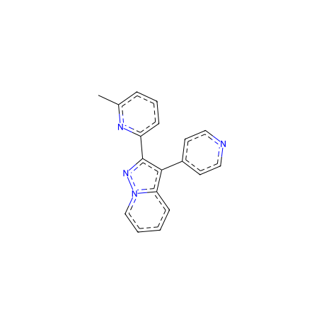 Cc1cccc(-c2nn3ccccc3c2-c2ccncc2)n1